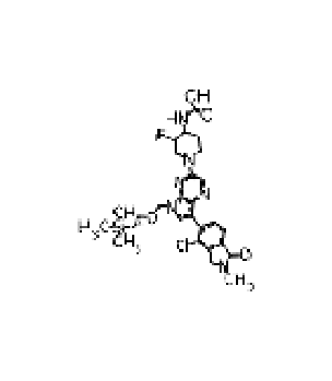 CN1Cc2c(ccc(-c3cn(COCC[Si](C)(C)C)c4nc(N5CC[C@H](NC(=O)O)[C@H](F)C5)cnc34)c2Cl)C1=O